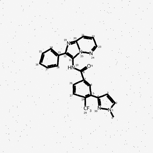 Cn1ccc(-c2cc(C(=O)Nc3c(-c4ccccc4)nc4cccnn34)ccc2C(F)(F)F)n1